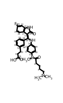 CN(C)CCCCC(=O)N(C)c1ccc(N/C(=C2\C(=O)Nc3cc(F)ccc32)c2cccc(CCC(=O)O)c2)cc1